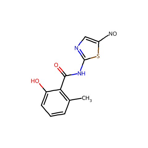 Cc1cccc(O)c1C(=O)Nc1ncc(N=O)s1